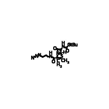 CC(C)(C)OC(=O)N[C@@H]1C(=O)N2[C@@H]1SC(C)(C)[C@@H]2C(=O)NCCCN=[N+]=[N-]